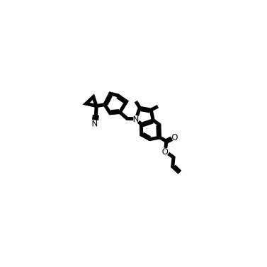 C=CCOC(=O)c1ccc2c(c1)c(C)c(C)n2Cc1cccc(C2(C#N)CC2)c1